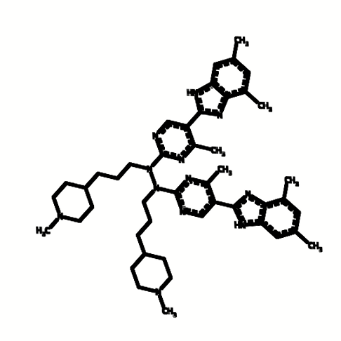 Cc1cc(C)c2nc(-c3cnc(N(CCCC4CCN(C)CC4)N(CCCC4CCN(C)CC4)c4ncc(-c5nc6c(C)cc(C)cc6[nH]5)c(C)n4)nc3C)[nH]c2c1